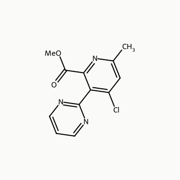 COC(=O)c1nc(C)cc(Cl)c1-c1ncccn1